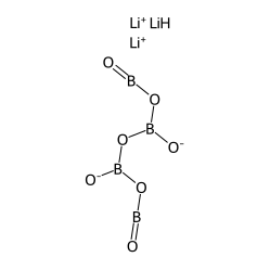 O=BOB([O-])OB([O-])OB=O.[Li+].[Li+].[LiH]